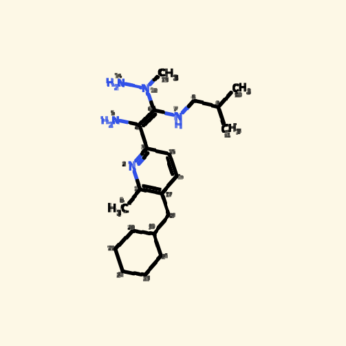 Cc1nc(/C(N)=C(\NCC(C)C)N(C)N)ccc1CC1CCCCC1